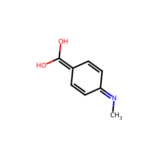 CN=C1C=CC(=C(O)O)C=C1